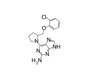 Nc1nc(N2CCCC2COc2ccccc2Cl)c2nc[nH]c2n1